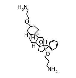 C[C@]12CC[C@H](OCCCN)C[C@@H]1CC[C@@H]1[C@@H]2CC[C@]2(C)[C@@](OCCCN)(c3ccccc3)CC[C@]12O